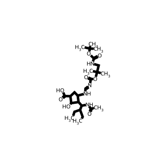 CCC(CC)C(NC(C)=O)C1C(NC=NC(=O)OC(C)(C)CNC(=O)OC(C)(C)C)CC(C(=O)O)C1O